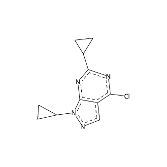 Clc1nc(C2CC2)nc2c1cnn2C1CC1